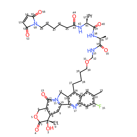 CC[C@@]1(O)C(=O)OCc2c1cc1n(c2=O)Cc2c-1nc1cc(F)c(C)cc1c2CCCCOCNC(=O)[C@H](C)NC(=O)[C@@H](NC(=O)CCCCCN1C(=O)C=CC1=O)C(C)C